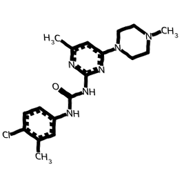 Cc1cc(N2CCN(C)CC2)nc(NC(=O)Nc2ccc(Cl)c(C)c2)n1